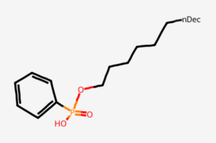 CCCCCCCCCCCCCCCCOP(=O)(O)c1ccccc1